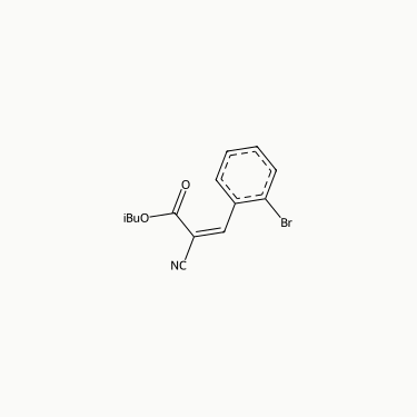 CC(C)COC(=O)C(C#N)=Cc1ccccc1Br